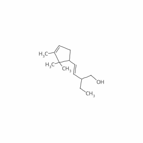 CCC(C=CC1CC=C(C)C1(C)C)CO